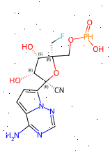 N#C[C@@]1(c2ccc3c(N)ncnn23)O[C@](CF)(CO[PH](=O)O)[C@@H](O)[C@H]1O